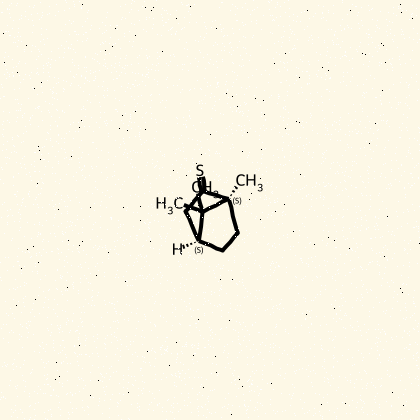 CC1(C)[C@H]2CC[C@]1(C)C(=S)C2